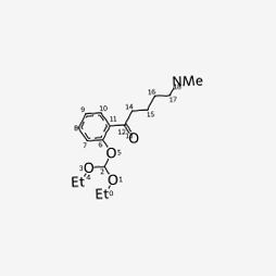 CCOC(OCC)Oc1ccccc1C(=O)CCCCNC